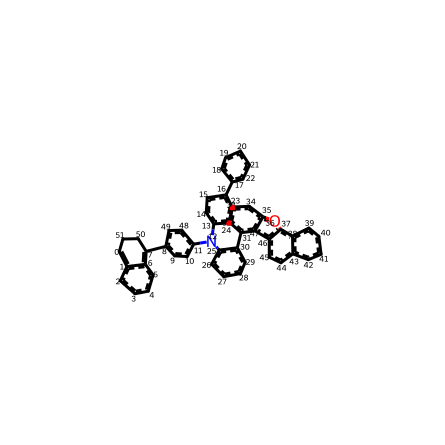 C1=c2ccccc2=C(c2ccc(N(c3ccc(-c4ccccc4)cc3)c3ccccc3-c3cccc4oc5c6ccccc6ccc5c34)cc2)CC1